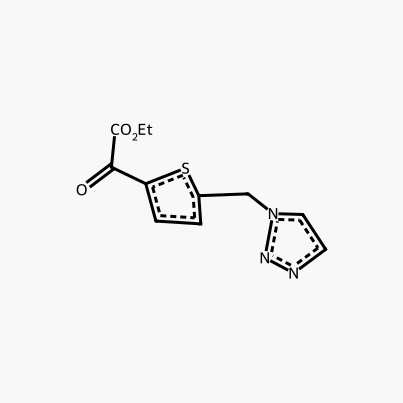 CCOC(=O)C(=O)c1ccc(Cn2ccnn2)s1